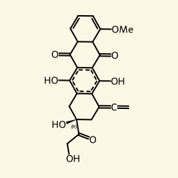 C=C=C1C[C@](O)(C(=O)CO)Cc2c(O)c3c(c(O)c21)C(=O)C1C(OC)=CC=CC1C3=O